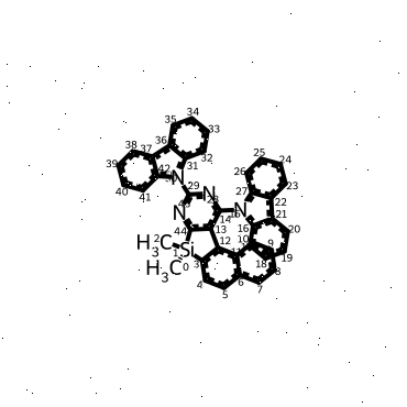 C[Si]1(C)c2ccc3ccccc3c2-c2c(-n3c4ccccc4c4ccccc43)nc(-n3c4ccccc4c4ccccc43)nc21